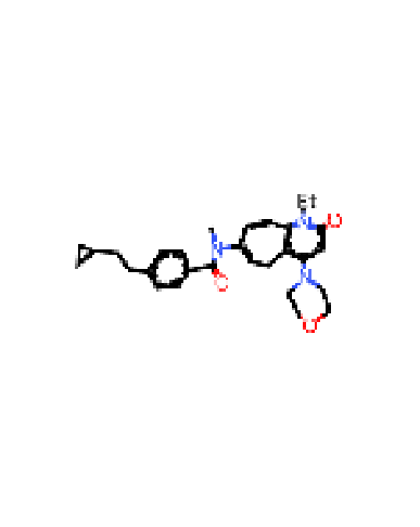 CCn1c2c(c(N3CCOCC3)cc1=O)CC=C(N(C)C(=O)c1ccc(CCC3CC3)cc1)C=C2